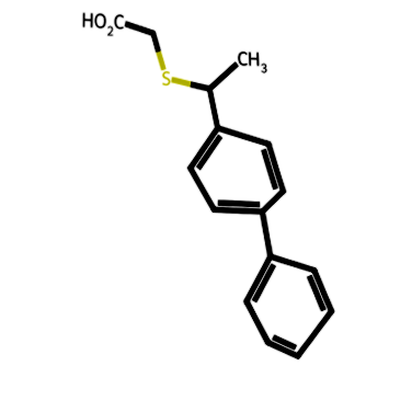 CC(SCC(=O)O)c1ccc(-c2ccccc2)cc1